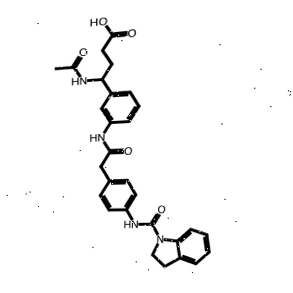 CC(=O)NC(CCC(=O)O)c1cccc(NC(=O)Cc2ccc(NC(=O)N3CCc4ccccc43)cc2)c1